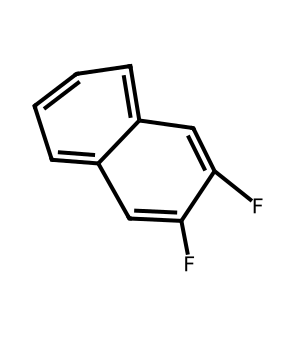 Fc1cc2ccccc2cc1F